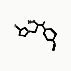 C=CC1=CCC(C(C)C(CN2CCC(F)C2)NC)C=C1